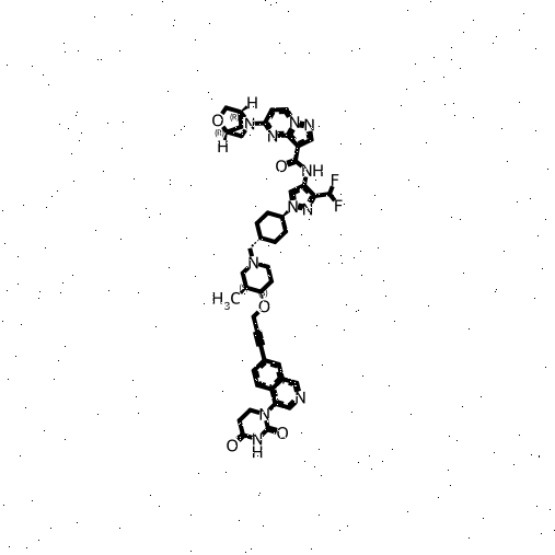 C[C@H]1CN(C[C@H]2CC[C@H](n3cc(NC(=O)c4cnn5ccc(N6C[C@H]7C[C@@H]6CO7)nc45)c(C(F)F)n3)CC2)CC[C@@H]1OCC#Cc1ccc2c(N3CCC(=O)NC3=O)cncc2c1